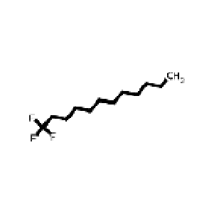 CCCCCCCCC[CH]CC(F)(F)F